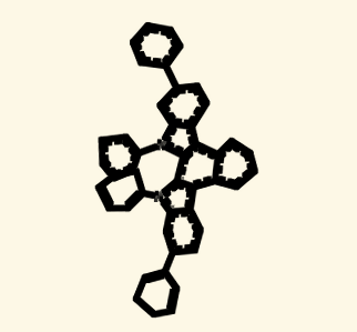 C1=CCCC(n2c3cc(C4=CCCC=C4)ccc3c3c4ccccc4c4c5ccc(-c6ccccc6)cc5n(-c5ccccc5)c4c32)=C1